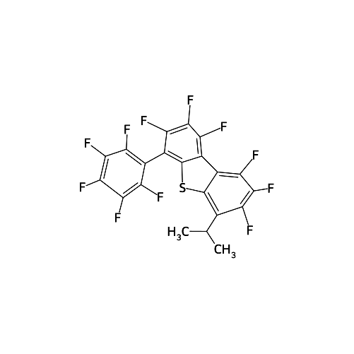 CC(C)c1c(F)c(F)c(F)c2c1sc1c(-c3c(F)c(F)c(F)c(F)c3F)c(F)c(F)c(F)c12